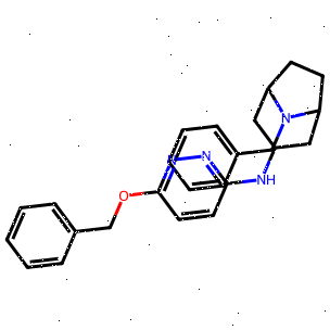 c1ccc(COc2ccc(NC3CC4CCC(C3)N4Cc3ccccc3)nn2)cc1